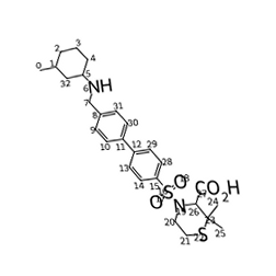 CC1CCCC(NCc2ccc(-c3ccc(S(=O)(=O)N4CCSC(C)(C)C4C(=O)O)cc3)cc2)C1